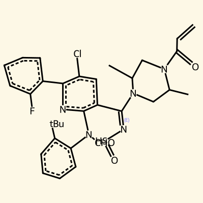 C=CC(=O)N1CC(C)N(/C(=N/[SH]=O)c2cc(Cl)c(-c3ccccc3F)nc2N(C=O)c2ccccc2C(C)(C)C)CC1C